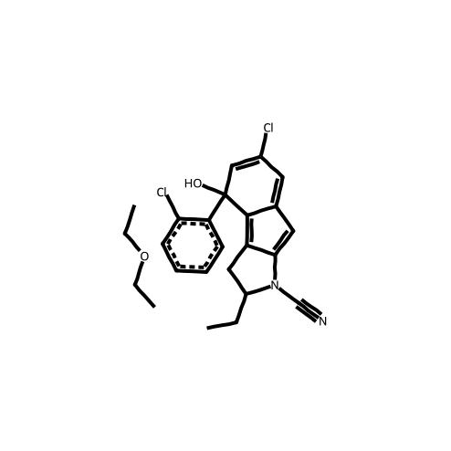 CCC1CC2=C3C(=CC(Cl)=CC3(O)c3ccccc3Cl)C=C2N1C#N.CCOCC